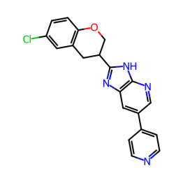 Clc1ccc2c(c1)CC(c1nc3cc(-c4ccncc4)cnc3[nH]1)CO2